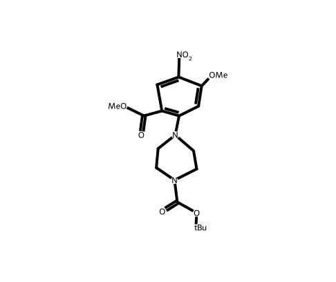 COC(=O)c1cc([N+](=O)[O-])c(OC)cc1N1CCN(C(=O)OC(C)(C)C)CC1